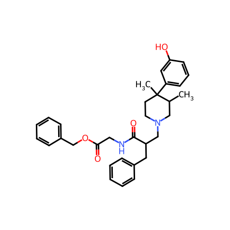 CC1CN(CC(Cc2ccccc2)C(=O)NCC(=O)OCc2ccccc2)CCC1(C)c1cccc(O)c1